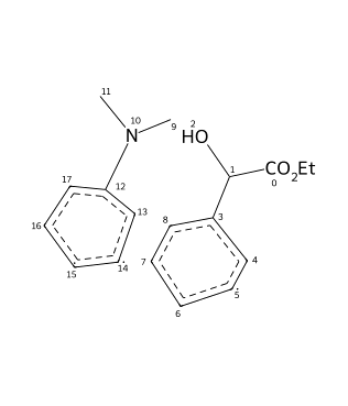 CCOC(=O)C(O)c1c[c]ccc1.CN(C)c1c[c][c]cc1